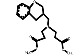 COC(=O)CCN(CCC(=O)OC)CC1COc2ccccc2C1